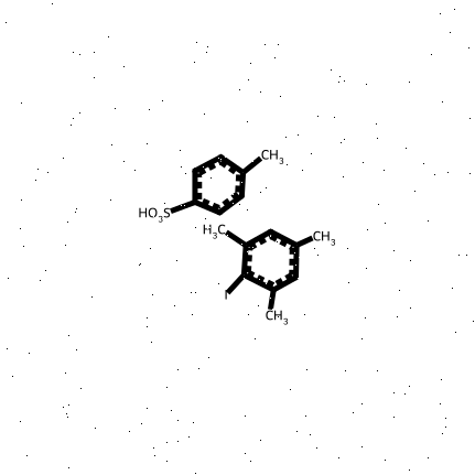 Cc1cc(C)c(I)c(C)c1.Cc1ccc(S(=O)(=O)O)cc1